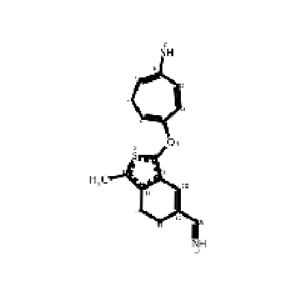 Cc1sc(OC2=CCC=C(S)C=C2)c2c1CCC(C=N)=C2